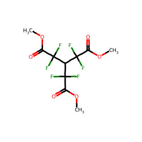 COC(=O)C(F)(F)C(C(F)(F)C(=O)OC)C(F)(F)C(=O)OC